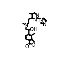 Cc1cnc(-n2ccnc2)nc1CCN(C)CC(O)c1ccc2c(c1C)COC2=O